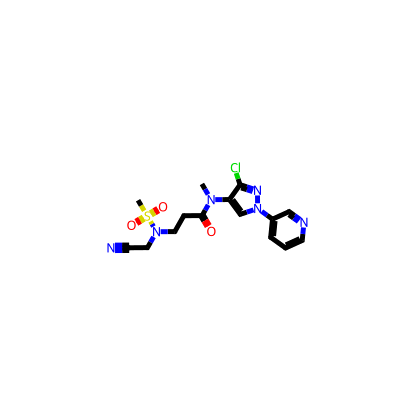 CN(C(=O)CCN(CC#N)S(C)(=O)=O)c1cn(-c2cccnc2)nc1Cl